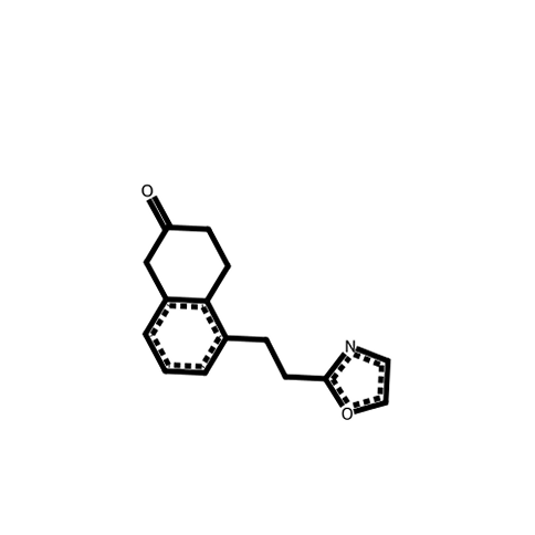 O=C1CCc2c(CCc3ncco3)cccc2C1